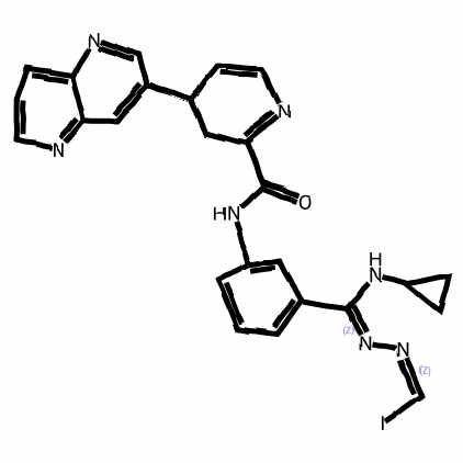 O=C(Nc1cccc(/C(=N/N=C\I)NC2CC2)c1)C1=NC=CC(c2cnc3cccnc3c2)C1